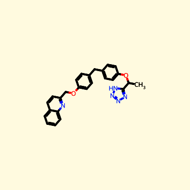 CC(Oc1ccc(Cc2ccc(OCc3ccc4ccccc4n3)cc2)cc1)c1nnn[nH]1